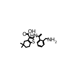 C=C(Nc1sc2c(c1C(=O)O)CC(C)(C)CC2)c1ccccc1CN